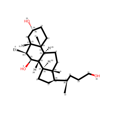 CC[C@@H]1[C@H](O)[C@@H]2[C@H](CC[C@]3(C)[C@@H]([C@H](C)CCCO)CC[C@@H]23)[C@@]2(C)CC[C@@H](O)C[C@@H]12